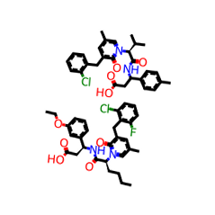 CCCC[C@@H](C(=O)N[C@@H](CC(=O)O)c1cccc(OCC)c1)n1cc(C)cc(Cc2c(F)cccc2Cl)c1=O.Cc1ccc(C(CC(=O)O)NC(=O)[C@H](C(C)C)n2cc(C)cc(Cc3ccccc3Cl)c2=O)cc1